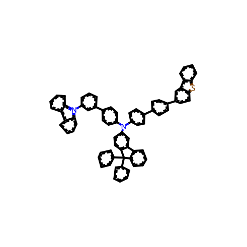 c1ccc(C2(c3ccccc3)c3ccccc3-c3cc(N(c4ccc(-c5ccc(-c6ccc7sc8ccccc8c7c6)cc5)cc4)c4ccc(-c5cccc(-n6c7ccccc7c7ccccc76)c5)cc4)ccc32)cc1